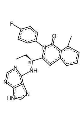 CC[C@H](Nc1ncnc2[nH]cnc12)c1cc2cccc(C)c2c(=O)n1-c1ccc(F)cc1